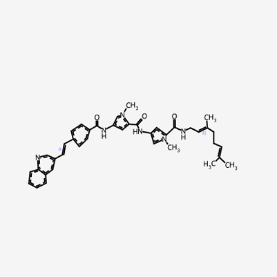 CC(C)=CCC/C(C)=C/CNC(=O)c1cc(NC(=O)c2cc(NC(=O)c3ccc(/C=C/c4cnc5ccccc5c4)cc3)cn2C)cn1C